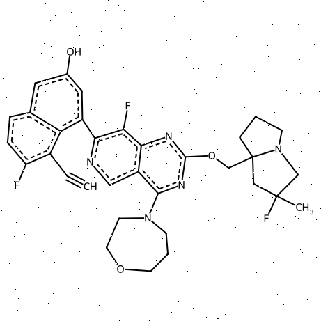 C#Cc1c(F)ccc2cc(O)cc(-c3ncc4c(N5CCCOCC5)nc(OCC56CCCN5CC(C)(F)C6)nc4c3F)c12